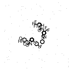 CN(C[C@H]1CC[C@H](n2cc3cc(NC(=O)c4cccc(C(F)(F)F)n4)c(C(F)F)cc3n2)CC1)C1CCN(c2cccc3c2n(C)c(=O)n3C2CCC(=O)NC2=O)CC1